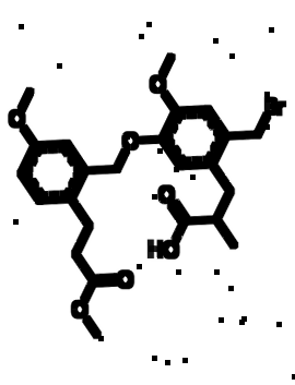 COC(=O)CCc1ccc(OC)cc1COc1cc(CC(C)C(=O)O)c(CBr)cc1OC